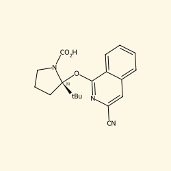 CC(C)(C)[C@@]1(Oc2nc(C#N)cc3ccccc23)CCCN1C(=O)O